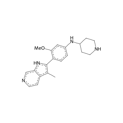 COc1cc(NC2CCNCC2)ccc1-c1[nH]c2cnccc2c1C